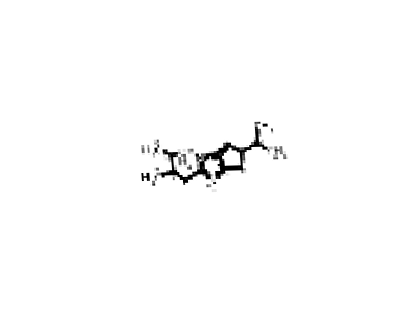 CC(C)C1C=c2nc(CC(C)C(C)C)[nH]c2=C1